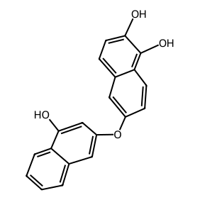 Oc1ccc2cc(Oc3cc(O)c4ccccc4c3)ccc2c1O